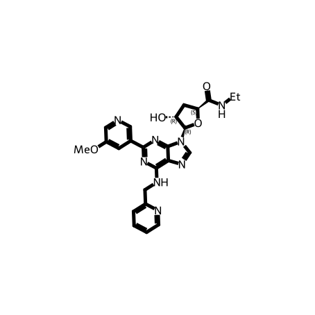 CCNC(=O)[C@@H]1C[C@@H](O)[C@H](n2cnc3c(NCc4ccccn4)nc(-c4cncc(OC)c4)nc32)O1